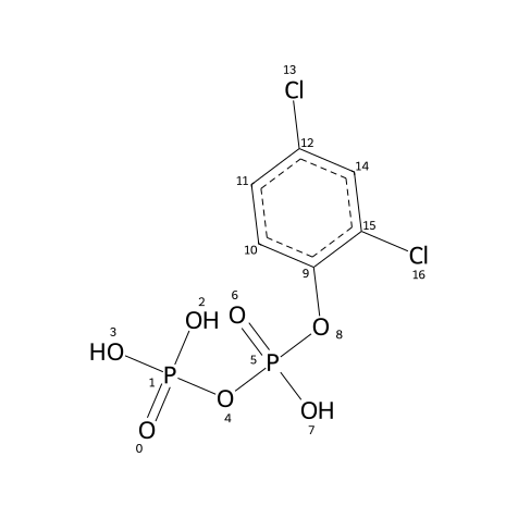 O=P(O)(O)OP(=O)(O)Oc1ccc(Cl)cc1Cl